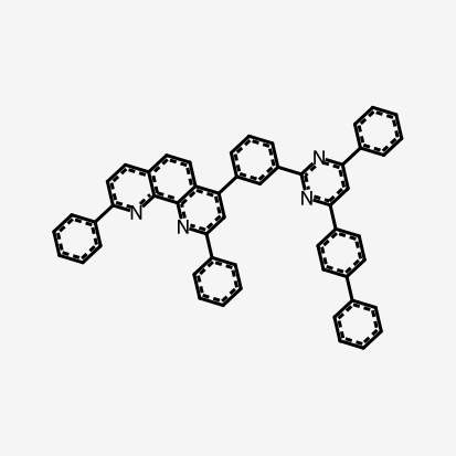 c1ccc(-c2ccc(-c3cc(-c4ccccc4)nc(-c4cccc(-c5cc(-c6ccccc6)nc6c5ccc5ccc(-c7ccccc7)nc56)c4)n3)cc2)cc1